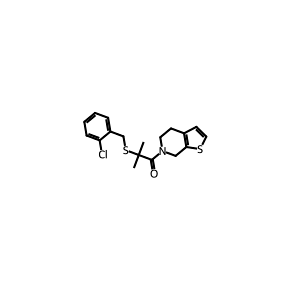 CC(C)(SCc1ccccc1Cl)C(=O)N1CCc2ccsc2C1